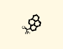 CCCC(Cl)c1ccc2ccc3cccc4ccc1c2c34